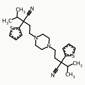 CC(C)C(C#N)(CCN1CCN(CCC(C#N)(c2cccs2)C(C)C)CC1)c1cccs1